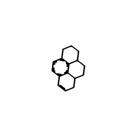 C1=Cc2ccc3c4c2C(C1)CCC4CCC3